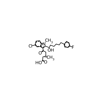 C[C@H](CC(=O)O)CC(=O)c1c(C(O)CCCCCc2ccc(F)cc2)n(C)c2ccc(Cl)cc12